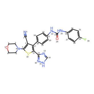 N#Cc1c(N2CCOCC2)sc(-c2nc[nH]n2)c1-c1ccc(NC(=O)Nc2ccc(F)cc2)cc1